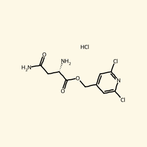 Cl.NC(=O)C[C@H](N)C(=O)OCc1cc(Cl)nc(Cl)c1